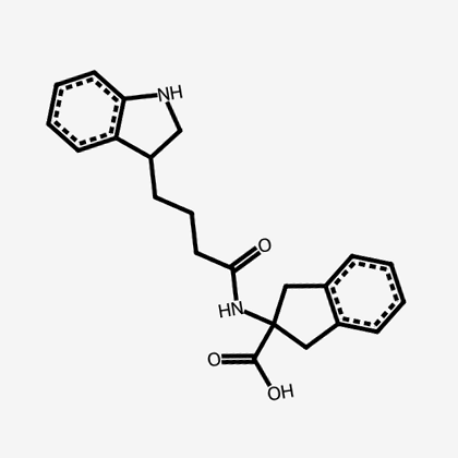 O=C(CCCC1CNc2ccccc21)NC1(C(=O)O)Cc2ccccc2C1